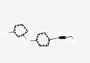 OCC#Cc1ccc(Oc2cccc(F)c2)cc1